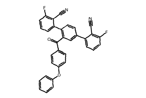 N#Cc1c(F)cccc1-c1ccc(-c2cccc(F)c2C#N)c(C(=O)c2ccc(Oc3ccccc3)cc2)c1